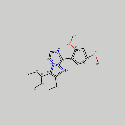 CCc1nc2c(-c3ccc(OC)cc3OC)nccn2c1C(CC)CC